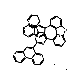 C1=CCCC(c2nc(-c3cc4ccccc4c4ccccc34)nc(-c3cccc4oc5cccc(-c6ccc7ccccc7c6)c5c34)n2)=C1